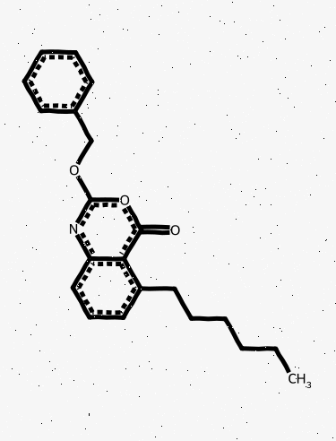 CCCCCCc1cccc2nc(OCc3ccccc3)oc(=O)c12